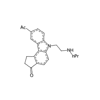 CCCNCCn1c2ccc(C(C)=O)cc2c2c3c(ccc21)C(=O)CC3